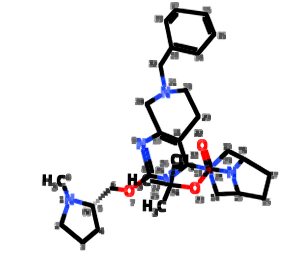 CN1CCC[C@H]1COc1nc2c(c(N3CC4CCC(C3)N4C(=O)OC(C)(C)C)n1)CCN(Cc1ccccc1)C2